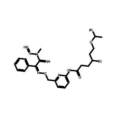 CCC(CCOC(C)C(C)C)CCC(=O)Nc1cccc(CO/N=C(\C(=N)N(C)N=N)c2ccccc2)n1